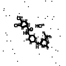 Cc1nc(N[C@H]2CC[C@@H](NC(=O)c3ccc(Cl)c(Cl)c3)CC2)cc(N(C)C)n1.Cl